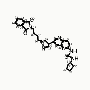 O=C(Nc1ccc2ncc(C3C=NN(CCCCN4C(=O)c5ccccc5C4=O)C3)cc2n1)NC1CCCC1